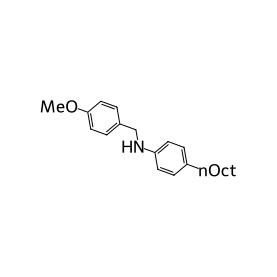 CCCCCCCCc1ccc(NCc2ccc(OC)cc2)cc1